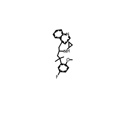 COc1ccc(F)cc1C(C)(C)CC(Cc1ccnc2ccccc12)NC1CC1